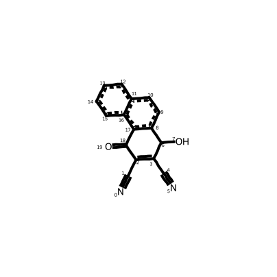 N#CC1=C(C#N)C(O)c2ccc3ccccc3c2C1=O